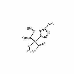 CC(C)OC(C(N)=O)(C(=O)OC(C)(C)C)c1csc(N)n1